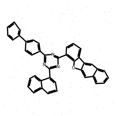 c1ccc(-c2ccc(-c3nc(-c4cccc5ccccc45)nc(-c4cccc5c4oc4cc6ccccc6cc45)n3)cc2)cc1